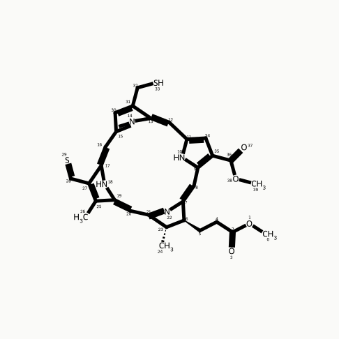 COC(=O)CC[C@@H]1c2cc3[nH]c(cc4nc(cc5[nH]c(cc(n2)[C@H]1C)c(C)c5C=S)C=C4CS)cc3C(=O)OC